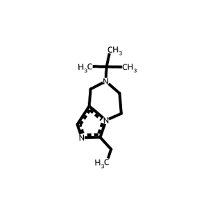 CCc1ncc2n1CCN(C(C)(C)C)C2